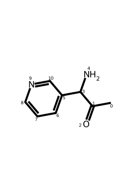 CC(=O)C(N)c1cccnc1